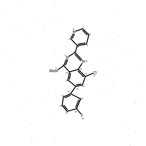 CNc1nc(-c2cccnc2)nc2c(Cl)cc(-c3cccc(F)c3)cc12